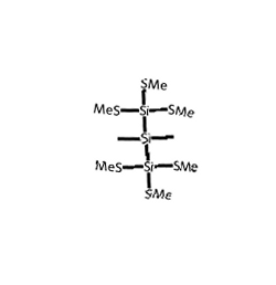 CS[Si](SC)(SC)[Si](C)(C)[Si](SC)(SC)SC